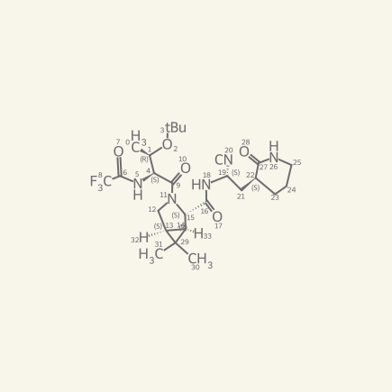 C[C@@H](OC(C)(C)C)[C@H](NC(=O)C(F)(F)F)C(=O)N1C[C@H]2[C@@H]([C@H]1C(=O)N[C@H](C#N)C[C@@H]1CCCNC1=O)C2(C)C